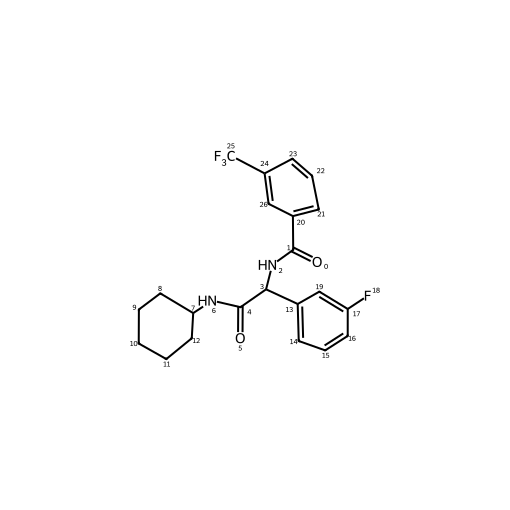 O=C(NC(C(=O)NC1CCCCC1)c1cccc(F)c1)c1cccc(C(F)(F)F)c1